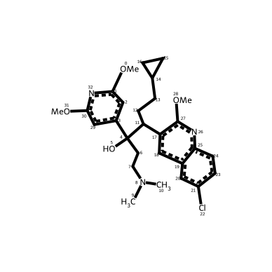 COc1cc(C(O)(CCN(C)C)C(CCC2CC2)c2cc3cc(Cl)ccc3nc2OC)cc(OC)n1